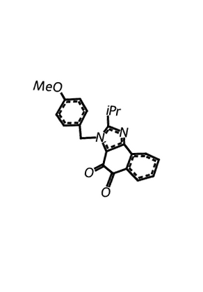 COc1ccc(Cn2c(C(C)C)nc3c2C(=O)C(=O)c2ccccc2-3)cc1